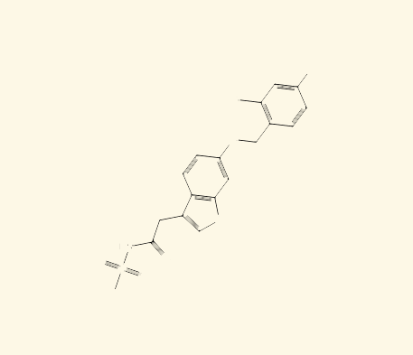 CS(=O)(=O)NC(=O)Cc1csc2cc(OCc3ccc(Cl)cc3Cl)ccc12